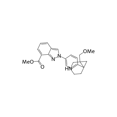 COCC12CNCCC1(c1ccc(-n3cc4cccc(C(=O)OC)c4n3)cc1)C2